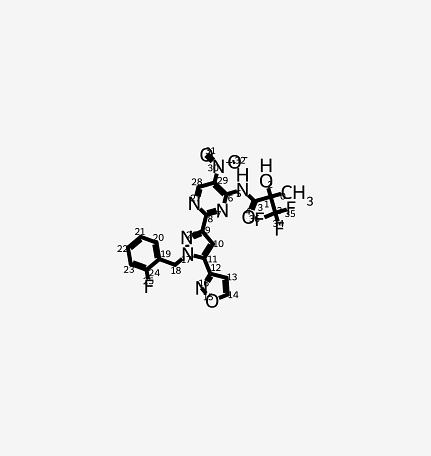 CC(O)(C(=O)Nc1nc(-c2cc(-c3ccon3)n(Cc3ccccc3F)n2)ncc1[N+](=O)[O-])C(F)(F)F